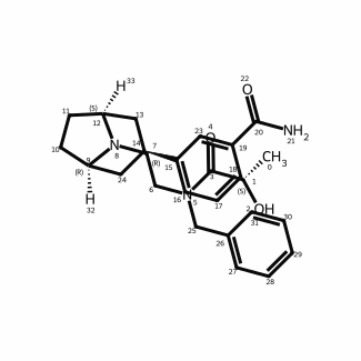 C[C@H](O)C(=O)N(CCN1[C@@H]2CC[C@H]1C[C@@H](c1cccc(C(N)=O)c1)C2)Cc1ccccc1